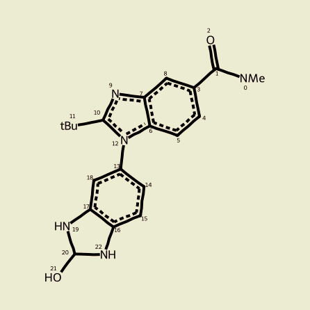 CNC(=O)c1ccc2c(c1)nc(C(C)(C)C)n2-c1ccc2c(c1)NC(O)N2